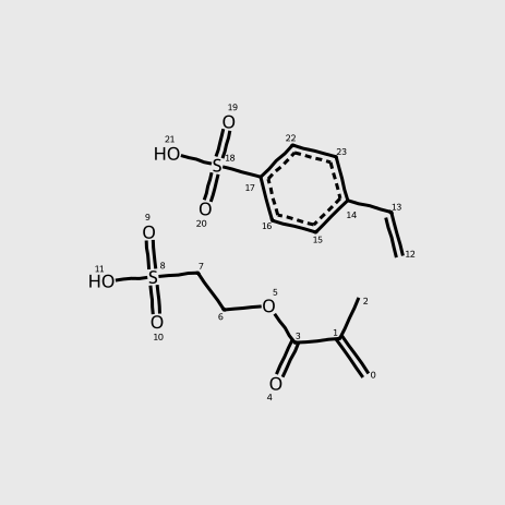 C=C(C)C(=O)OCCS(=O)(=O)O.C=Cc1ccc(S(=O)(=O)O)cc1